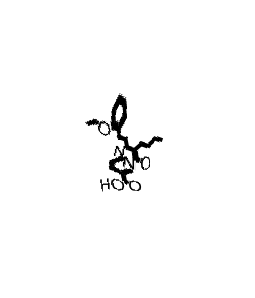 CCCCc1c(C=Cc2ccccc2OCC)nc2ccc(C(=O)O)cn2c1=O